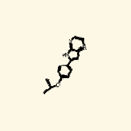 CC(C)Oc1ccc(-c2cc3nccnc3[nH]2)cc1